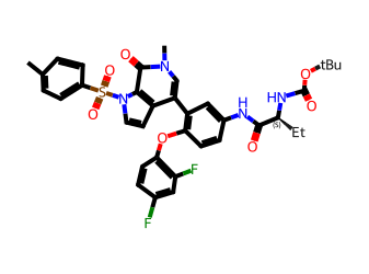 CC[C@H](NC(=O)OC(C)(C)C)C(=O)Nc1ccc(Oc2ccc(F)cc2F)c(-c2cn(C)c(=O)c3c2ccn3S(=O)(=O)c2ccc(C)cc2)c1